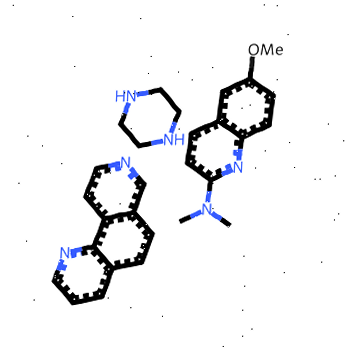 C1CNCCN1.COc1ccc2nc(N(C)C)ccc2c1.c1cnc2c(c1)ccc1cnccc12